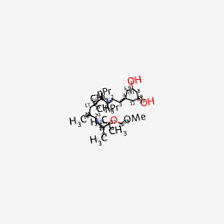 CCC/C(=C\C=C1C[C@@H](O)C[C@H](O)C1)[C@H](CCC)C(C)(C)C[C@H](C)/C=C/[C@H](C)C(C)(C)OCOC